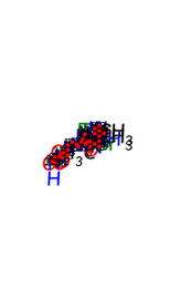 COc1cc(N2CCN(C3CCCN(c4ccc5c(c4)C(=O)N(C4CCC(=O)NC4=O)C5=O)C3)CC2)c(-c2cnn(C(F)F)c2)cc1-c1ncc(Br)c(Nc2ccc3nccnc3c2P(C)C)n1